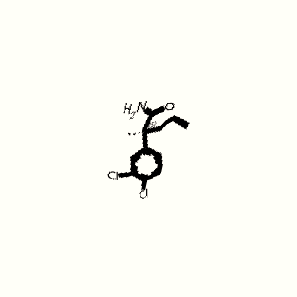 C=CC[C@](C)(C(N)=O)c1ccc(Cl)c(Cl)c1